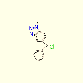 Cn1nnc2cc(C(Cl)c3ccccc3)ccc21